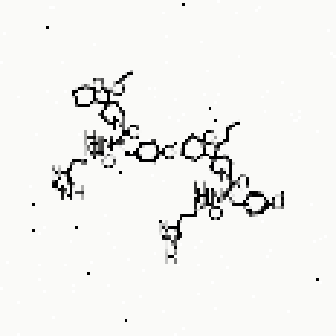 CCCC(=O)C1(C2CCCCC2)CCN(C(=O)[C@@H](Cc2ccc(OC)cc2)NC(=O)NCCc2c[nH]cn2)CC1.CCOC(=O)C1(C2CCCCC2)CCN(C(=O)[C@H](Cc2ccc(OC)cc2)NC(=O)NCCc2c[nH]cn2)CC1